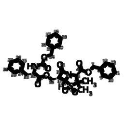 CC1(C)[C@H](C(=O)OCc2ccccc2)N2C(=O)[C@@H](COC(=O)[C@H](Cc3ccccc3)NC(=O)OCc3ccccc3)[C@H]2S1(=O)=O